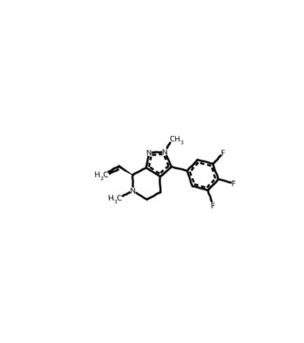 C=C[C@H]1c2nn(C)c(-c3cc(F)c(F)c(F)c3)c2CCN1C